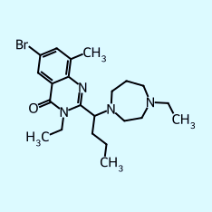 CCCC(c1nc2c(C)cc(Br)cc2c(=O)n1CC)N1CCCN(CC)CC1